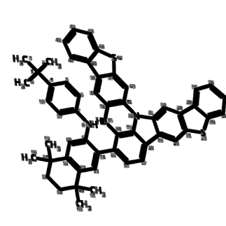 CC(C)(C)c1ccc(Nc2cc3c(cc2-c2ccc4c5cc6sc7ccccc7c6cc5n5c4c2Bc2cc4c(cc2-5)sc2ccccc24)C(C)(C)CCC3(C)C)cc1